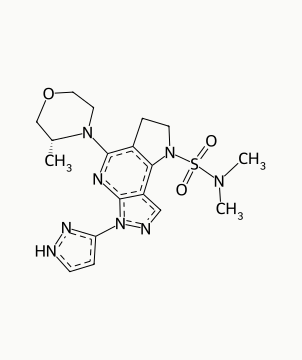 C[C@@H]1COCCN1c1nc2c(cnn2-c2cc[nH]n2)c2c1CCN2S(=O)(=O)N(C)C